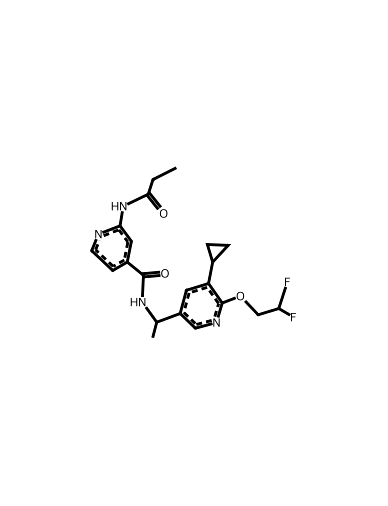 CCC(=O)Nc1cc(C(=O)NC(C)c2cnc(OCC(F)F)c(C3CC3)c2)ccn1